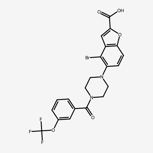 O=C(O)c1cc2c(Br)c(N3CCN(C(=O)c4cccc(OC(F)(F)F)c4)CC3)ccc2o1